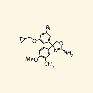 COc1ccc(C2(c3cc(Br)cc(OCC4CC4)c3)COC(N)=N2)cc1C